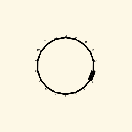 C1#CCCCCCCCCCCCCCCC[CH]1